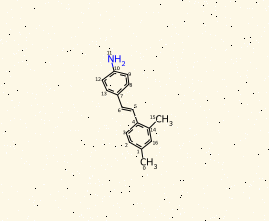 Cc1ccc(C=Cc2ccc(N)cc2)c(C)c1